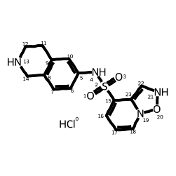 Cl.O=S(=O)(Nc1ccc2c(c1)CCNC2)C1=CC=CN2ONC=C12